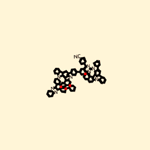 N#Cc1ccc(-c2nc(-n3c4ccccc4c4cc5c6ccccc6n6c7ccc8ccccc8c7c(c43)c56)nc3ncc(-c4ccc5c6cc7c8ccccc8n(-c8ccc(-c9nc%10ccccc%10nc9-c9ccc(-c%10ccccc%10)cc9)cc8)c7c7c8c9ccccc9ccc8n(c5c4)c67)cc23)cc1